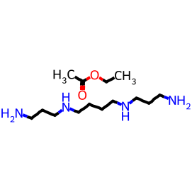 CCOC(C)=O.NCCCNCCCCNCCCN